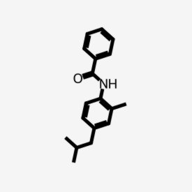 Cc1cc(CC(C)C)ccc1NC(=O)c1ccccc1